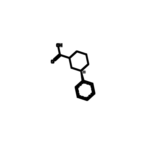 O=C(O)C1CCC[C@@H](c2ccccc2)C1